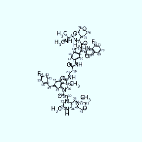 CN[C@@H](C)C(=O)NC(C(=O)N1Cc2ccc(NC(=O)CCNC(=O)[C@]3(C)CN(C(=O)CN4C[C@@H](C)NC[C@@H]4CN4CCOC[C@H]4C)c4cc(Cc5ccc(F)cc5)ccc43)cc2[C@H]1C(=O)Nc1c(F)cccc1F)C1CCOCC1